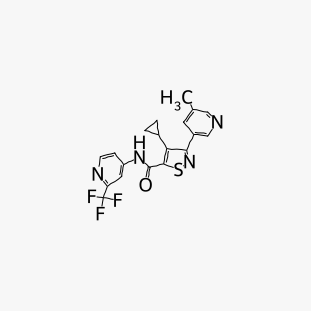 Cc1cncc(-c2nsc(C(=O)Nc3ccnc(C(F)(F)F)c3)c2C2CC2)c1